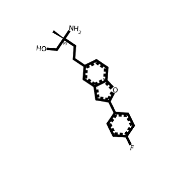 C[C@](N)(CO)CCc1ccc2oc(-c3ccc(F)cc3)cc2c1